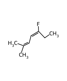 CC/C(F)=C\C=C(C)C